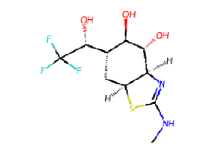 CNC1=N[C@@H]2[C@@H](O)[C@H](O)[C@@H]([C@@H](O)C(F)(F)F)C[C@@H]2S1